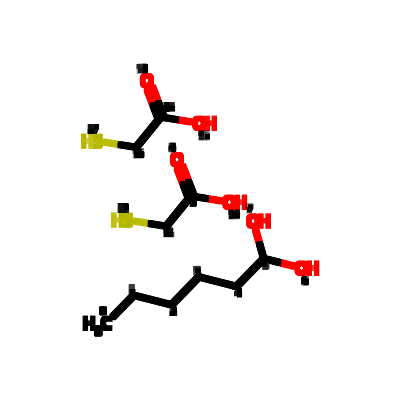 CCCCCC(O)O.O=C(O)CS.O=C(O)CS